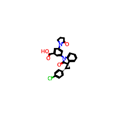 O=C(O)c1cc(N2CCCC2=O)cc(N2C(=O)[C@@]3(C[C@@H]3c3ccc(Cl)cc3)c3ccccc32)c1